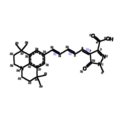 CN1N=C(C(=O)O)/C(=C/C=C/C=C/c2cc3c4c(c2)C(C)(C)CCN4CCC3(C)C)C1=O